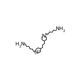 C[N+]1(CCCCCCN)CCC(CCCC2CC[N+](C)(CCCCCCN)CC2)CC1